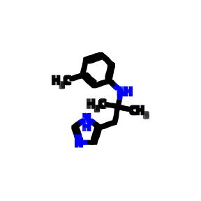 Cc1cccc(NC(C)(C)Cc2cnc[nH]2)c1